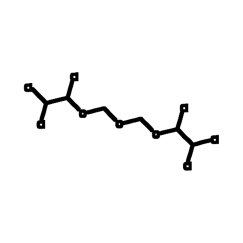 ClC(Cl)C(Cl)OCOCOC(Cl)C(Cl)Cl